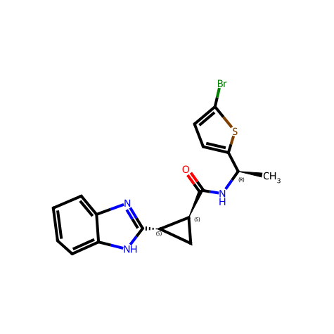 C[C@@H](NC(=O)[C@H]1C[C@@H]1c1nc2ccccc2[nH]1)c1ccc(Br)s1